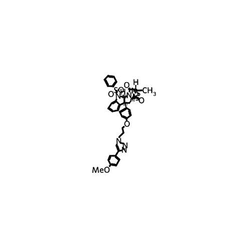 COc1ccc(-c2cn(CCCOc3ccc([C@]45C[C@@]67SS[C@@H](C(=O)N6[C@H]4N(S(=O)(=O)c4ccccc4)c4ccccc45)N(C)C7=O)cc3)nn2)cc1